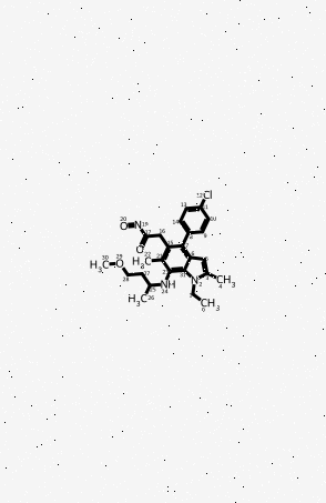 CCn1c(C)cc2c(-c3ccc(Cl)cc3)c(CC(=O)N=O)c(C)c(NC(C)CCOC)c21